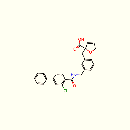 O=C(NCc1cccc(CC2(C(=O)O)C=CCO2)c1)c1ccc(-c2ccccc2)cc1Cl